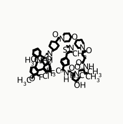 COc1ccc(C(N)=O)c(-c2c(Cl)c(F)cc3c2[C@H](C)[C@@](CNC2CCC(C(=O)N4CCC(OC5CCN(C(=O)CCC(=O)N[C@H](C(=O)N6C[C@H](O)C[C@H]6C(=O)N[C@@H](C)c6ccc(-c7scnc7C)cc6)C(C)(C)C)CC5)CC4)CC2)(c2ccccc2)O3)c1F